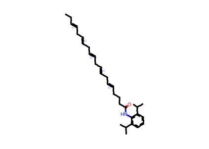 CC/C=C/C/C=C/C/C=C/C/C=C/C/C=C/CCCC(=O)Nc1c(C(C)C)cccc1C(C)C